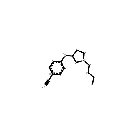 CCCCN1CCC(Oc2ccc(C#N)cc2)C1